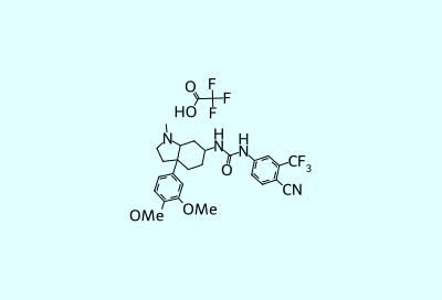 COc1ccc(C23CCC(NC(=O)Nc4ccc(C#N)c(C(F)(F)F)c4)CC2N(C)CC3)cc1OC.O=C(O)C(F)(F)F